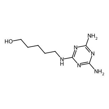 Nc1nc(N)nc(NCCCCCO)n1